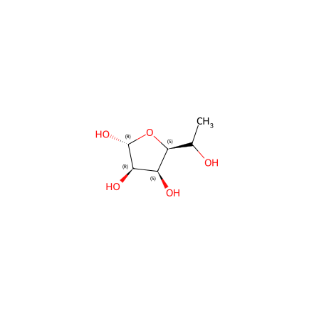 CC(O)[C@@H]1O[C@@H](O)[C@H](O)[C@@H]1O